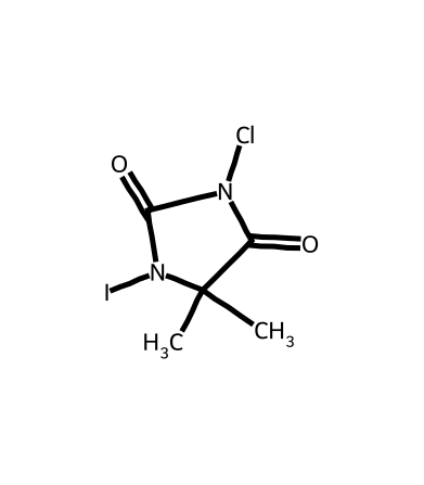 CC1(C)C(=O)N(Cl)C(=O)N1I